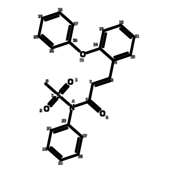 CS(=O)(=O)N(C(=O)/C=C/c1ccccc1Oc1ccccc1)c1ccccc1